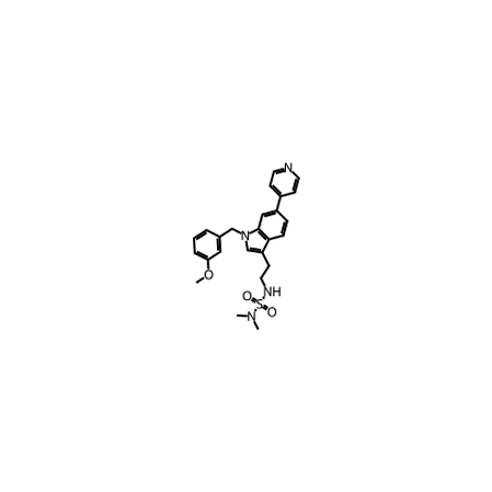 COc1cccc(Cn2cc(CCNS(=O)(=O)N(C)C)c3ccc(-c4ccncc4)cc32)c1